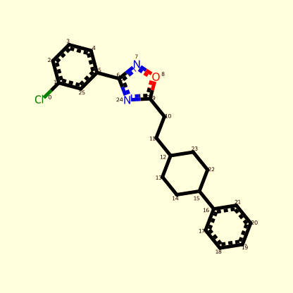 Clc1cccc(-c2noc(CCC3CCC(c4cc[c]cc4)CC3)n2)c1